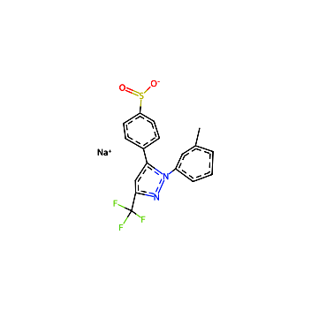 Cc1cccc(-n2nc(C(F)(F)F)cc2-c2ccc(S(=O)[O-])cc2)c1.[Na+]